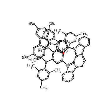 C=CB(c1cc(-n2c3ccccc3c3ccc4c5ccccc5n(-c5ccc(-n6c7ccc(C(C)(C)C)cc7c7cc(C(C)(C)C)ccc76)cc5)c4c32)cc2c1N(C(C)C)c1ccc(C(C)(C)C)cc1B2c1c(C)cc(C)cc1C)c1c(C)cc(C)cc1C